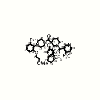 COCCOc1cccc(F)c1N1CCN(C(=O)[C@]2(Oc3csc(C(F)(F)F)c3)CCCN(C(=O)c3cnccc3C(F)(F)F)[C@@H]2CCN2CCCC2)CC1